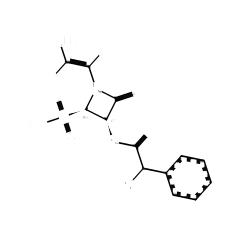 CC(C)=C(C(=O)O)N1C(=O)[C@@H](NC(=O)C(N)c2ccccc2)[C@H]1S(C)(=O)=O